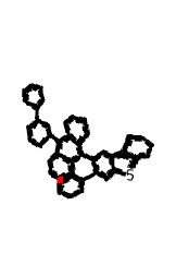 c1ccc(-c2cccc(-c3c4ccccc4c(-c4cc5c(cc4-c4ccccc4)sc4ccccc45)c4ccccc34)c2)cc1